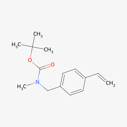 C=Cc1ccc(CN(C)C(=O)OC(C)(C)C)cc1